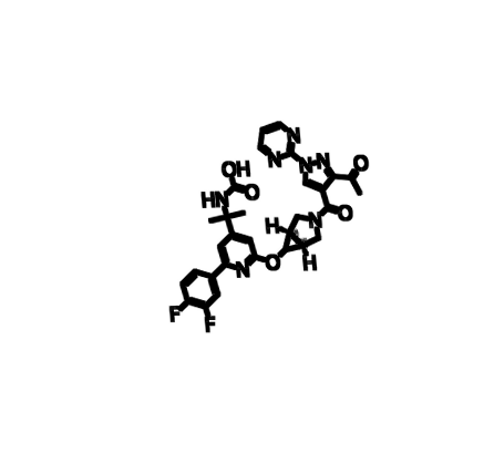 CC(=O)c1nn(-c2ncccn2)cc1C(=O)N1C[C@@H]2C(Oc3cc(C(C)(C)NC(=O)O)cc(-c4ccc(F)c(F)c4)n3)[C@@H]2C1